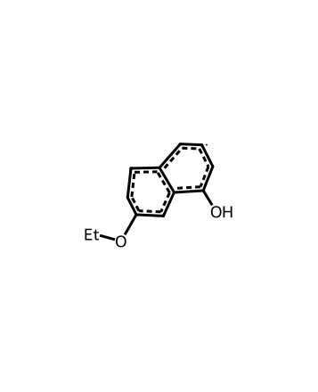 CCOc1ccc2c[c]cc(O)c2c1